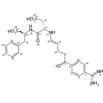 N=C(N)c1ccc(C(=O)CCC=CN[C@@H](CC(=O)O)C(=O)N[C@@H](Cc2ccccc2)C(=O)O)cc1